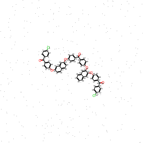 O=C(c1ccc(Cl)cc1)c1ccc(Oc2ccc3ccc(Oc4ccc(C(=O)c5ccc(Oc6cc7ccccc7cc6Oc6ccc(C(=O)c7ccc(Cl)cc7)cc6)cc5)cc4)cc3c2)cc1